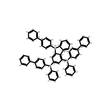 c1ccc(-c2ccc(N(c3ccccc3)c3cc(N(c4ccccc4)c4ccc(-c5ccccc5)cc4)c4c5ccccc5n(-c5ccc(-c6ccccc6)cc5)c4c3)cc2)cc1